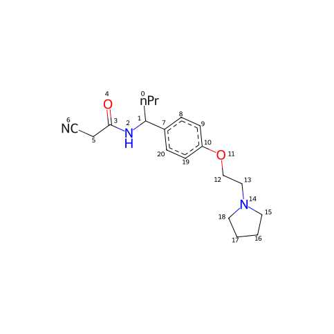 CCCC(NC(=O)CC#N)c1ccc(OCCN2CCCC2)cc1